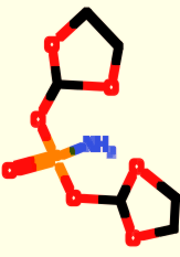 NP(=O)(OC1OCCO1)OC1OCCO1